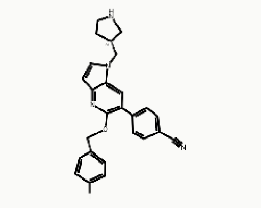 N#Cc1ccc(-c2cc3c(ccn3C[C@H]3CCNC3)nc2OCc2ccc(I)cc2)cc1